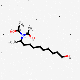 CCCCCCCCC(CCCCCCCCCO)N(C(C)O)C(C)O